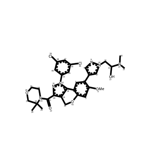 COc1cc2c(cc1-c1cnn(CC(O)N(C)C)c1)-c1c(c(C(=O)N3CCOCC3(C)C)nn1-c1cc(Cl)cc(Cl)c1)CO2